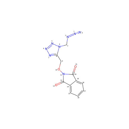 [N-]=[N+]=NCn1nnnc1CON1C(=O)c2ccccc2C1=O